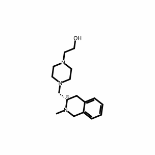 CN1Cc2ccccc2C[C@H]1CN1CCN(CCO)CC1